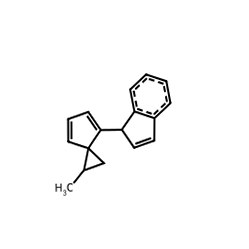 CC1CC12C=CC=C2C1C=Cc2ccccc21